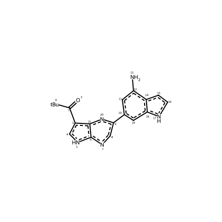 CC(C)(C)C(=O)c1c[nH]c2ncc(-c3cc(N)c4cc[nH]c4c3)nc12